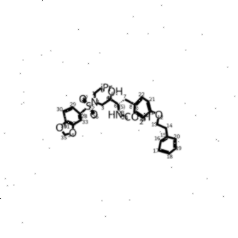 CC(C)CN(C[C@@H](O)[C@H](Cc1ccc(OCCc2ccccc2)cc1)NC(=O)O)S(=O)(=O)c1ccc2c(c1)OCO2